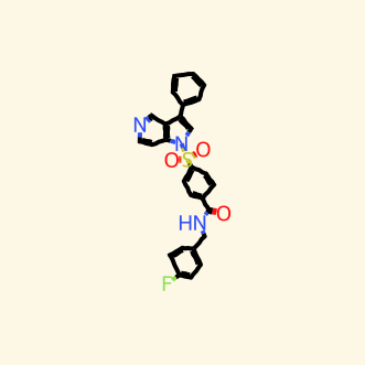 O=C(NCc1ccc(F)cc1)c1ccc(S(=O)(=O)n2cc(-c3ccccc3)c3cnccc32)cc1